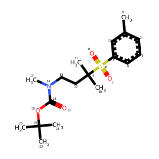 Cc1cccc(S(=O)(=O)C(C)(C)CCN(C)C(=O)OC(C)(C)C)c1